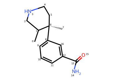 CC1CNCC[C@@]1(C)c1cccc(C(N)=O)c1